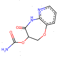 NC(=O)OC1COc2cccnc2NC1=O